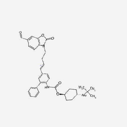 CC(C)(C)N[C@H]1CC[C@H](OC(=O)Nc2ccc(/C=C/CCn3c(=O)oc4cc(C=O)ccc43)cc2-c2ccccc2)CC1